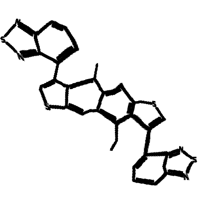 Cc1c2cc3scc(-c4cccc5nsnc45)c3c(C)c2cc2scc(-c3cccc4nsnc34)c12